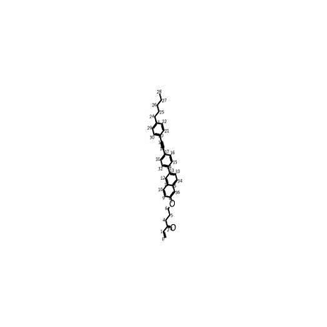 C=CC(=O)CCCOc1ccc2cc(-c3ccc(C#Cc4ccc(CCCCC)cc4)cc3)ccc2c1